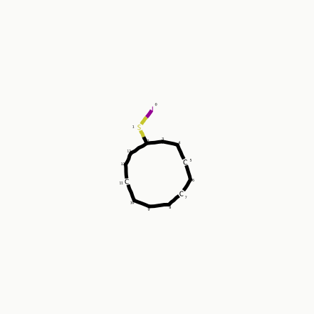 ISC1CCCCCCCCCCC1